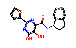 C[C@H]1Cc2ccccc2[C@H]1NC(=O)c1nc(-c2cccs2)nc(O)c1O